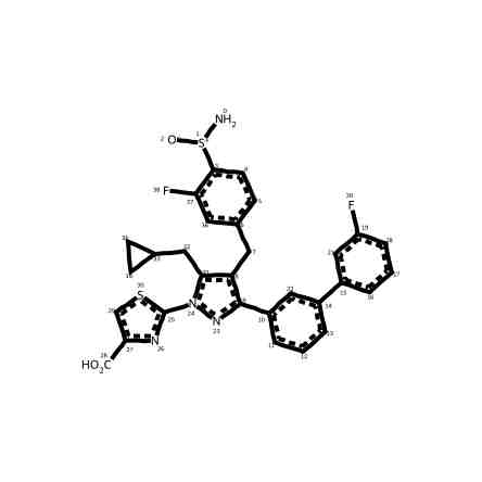 N[S+]([O-])c1ccc(Cc2c(-c3cccc(-c4cccc(F)c4)c3)nn(-c3nc(C(=O)O)cs3)c2CC2CC2)cc1F